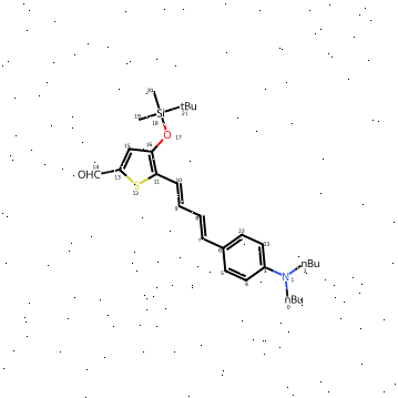 CCCCN(CCCC)c1ccc(/C=C/C=C/c2sc(C=O)cc2O[Si](C)(C)C(C)(C)C)cc1